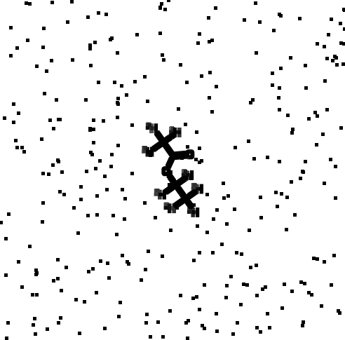 [2H]C([2H])([2H])C(=O)OC([2H])([2H])C([2H])([2H])[2H]